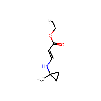 CCOC(=O)C=CNC1(C)CC1